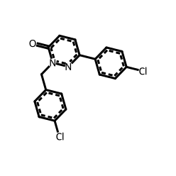 O=c1ccc(-c2ccc(Cl)cc2)nn1Cc1ccc(Cl)cc1